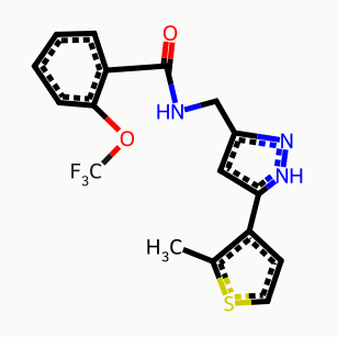 Cc1sccc1-c1cc(CNC(=O)c2ccccc2OC(F)(F)F)n[nH]1